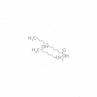 CCCCCCC(C)O.CCCCCCCCCCCC(=O)O